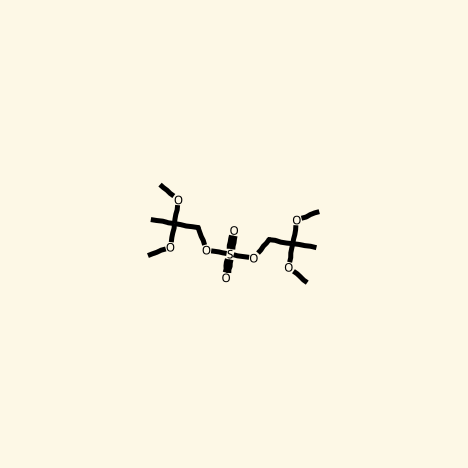 COC(C)(COS(=O)(=O)OCC(C)(OC)OC)OC